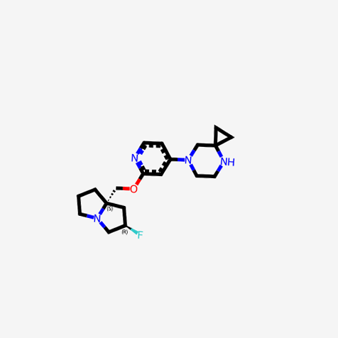 F[C@H]1CN2CCC[C@@]2(COc2cc(N3CCNC4(CC4)C3)ccn2)C1